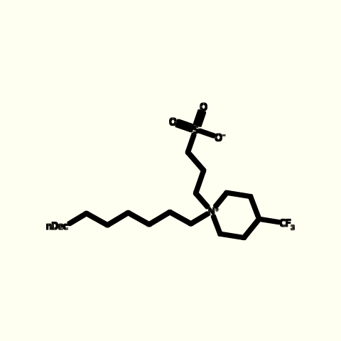 CCCCCCCCCCCCCCCC[N+]1(CCCS(=O)(=O)[O-])CCC(C(F)(F)F)CC1